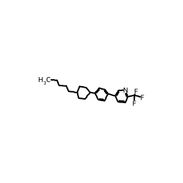 CCCCCC1CCC(c2ccc(-c3ccc(C(F)(F)F)nc3)cc2)CC1